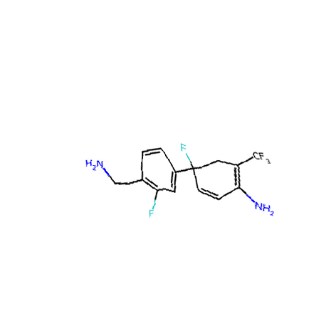 NCc1ccc(C2(F)C=CC(N)=C(C(F)(F)F)C2)cc1F